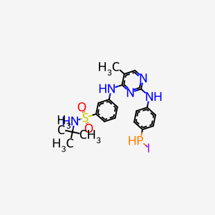 Cc1cnc(Nc2ccc(PI)cc2)nc1Nc1cccc(S(=O)(=O)NC(C)(C)C)c1